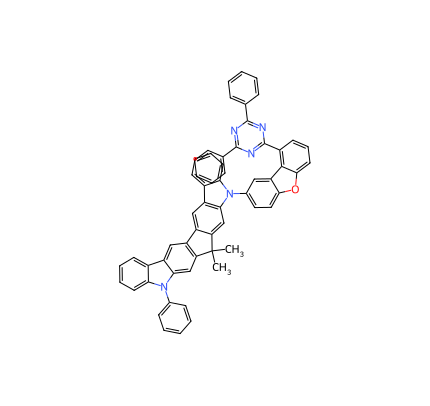 CC1(C)c2cc3c(cc2-c2cc4c5ccccc5n(-c5ccc6oc7cccc(-c8nc(-c9ccccc9)nc(-c9ccccc9)n8)c7c6c5)c4cc21)c1ccccc1n3-c1ccccc1